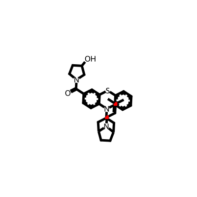 CC(C)=CCN1C2CCC1CC(N1c3ccccc3Sc3cc(C(=O)N4CCC(O)C4)ccc31)C2